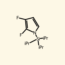 CC(C)[Si](C(C)C)(C(C)C)n1ccc(F)c1F